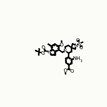 COC(=O)c1ccc(C2CC3(CCN2Cc2c(OC)cc(C)c4c2ccn4C(=O)OC(C)(C)C)CN(S(C)(=O)=O)C3)c(N)c1